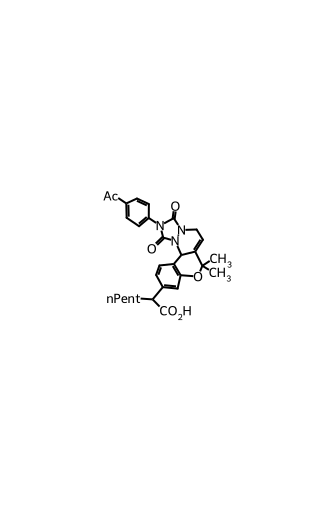 CCCCCC(C(=O)O)c1ccc2c(c1)OC(C)(C)C1=CCn3c(=O)n(-c4ccc(C(C)=O)cc4)c(=O)n3C12